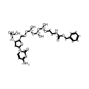 Nc1ccn([C@H]2C[C@H](O[PH](=O)O)[C@@H](COOP(O)OP(O)OP(O)OCCNC(=O)OCc3ccccc3)O2)c(=O)n1